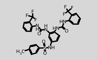 Cc1ccc(S(=O)(=O)Nc2ccc(NC(=O)Nc3ccccc3C(F)(F)F)c(NC(=O)Nc3ccccc3C(F)(F)F)c2)cc1